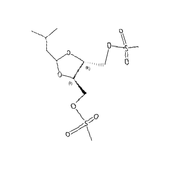 CC(C)CC1O[C@H](COS(C)(=O)=O)[C@@H](COS(C)(=O)=O)O1